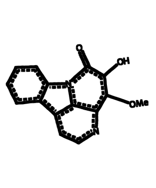 COc1c(O)c(=O)n2c3ccccc3c3ccnc1c32